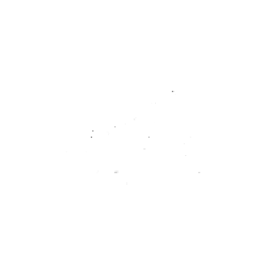 COC(=O)C1(C(C)=O)CCC(OC)CC1c1c(C)cc(C)cc1C